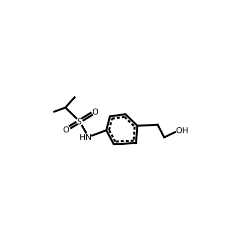 CC(C)S(=O)(=O)Nc1ccc(CCO)cc1